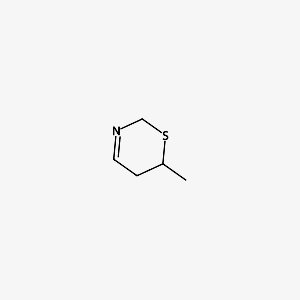 CC1CC=NCS1